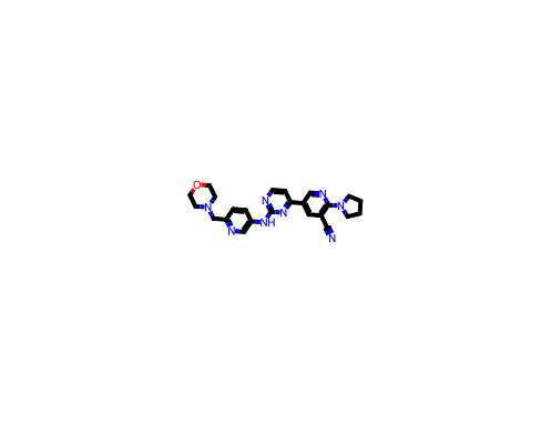 N#Cc1cc(-c2ccnc(Nc3ccc(CN4CCOCC4)nc3)n2)cnc1N1CCCC1